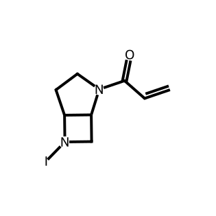 C=CC(=O)N1CCC2C1CN2I